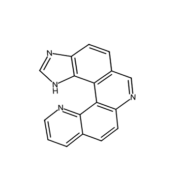 c1cnc2c(c1)ccc1ncc3ccc4nc[nH]c4c3c12